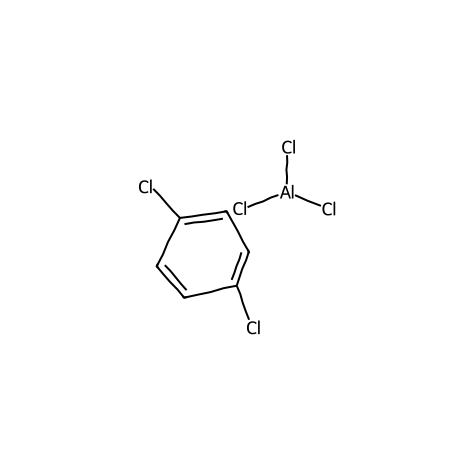 Clc1ccc(Cl)cc1.[Cl][Al]([Cl])[Cl]